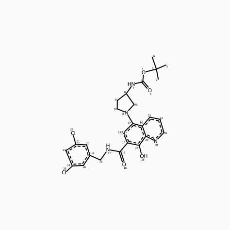 CC(C)(C)OC(=O)NC1CCN(c2nc(C(=O)NCc3cc(Cl)cc(Cl)c3)c(O)c3ncccc23)C1